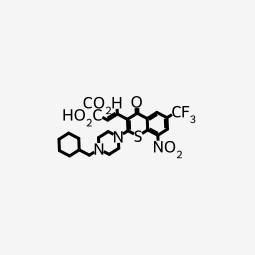 O=C(O)/C=C(\C(=O)O)c1c(N2CCN(CC3CCCCC3)CC2)sc2c([N+](=O)[O-])cc(C(F)(F)F)cc2c1=O